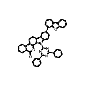 O=c1oc2c(ccc3c4cc(-c5cccc6c5oc5ccccc56)ccc4n(-c4nc(-c5ccccc5)nc(-c5ccccc5)n4)c32)c2ccccc12